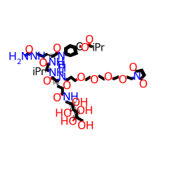 CC(C)C(=O)OCc1ccc(NC(=O)[C@H](CCCNC(N)=O)NC(=O)[C@@H](NC(=O)[C@@H](CCC(=O)NC[C@H](O)[C@@H](O)[C@H](O)[C@H](O)CO)NC(=O)CCOCCOCCOCCOCCN2C(=O)C=CC2=O)C(C)C)cc1